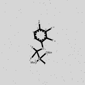 CO[Si](C)(OC)C(F)(F)Oc1ccc(F)c(F)c1F